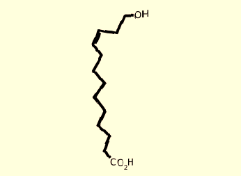 O=C(O)CCCCCCCC/C=C\CCO